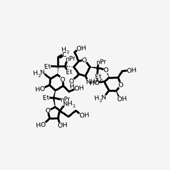 C=CC(CC)([C@@H]1OC(CO)[C@@H](C(CC)(CCC)[C@@H]2OC(O)C(O)C2(N)CCO)C(O)C1N)C(CC)(CCC)[C@@H]1C(CO)O[C@@H](C(CC)(CCC)O[C@@H]2C(CO)O[C@@H](O)C(N)C2O)C(NC(C)=O)C1O